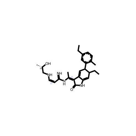 CCc1ccc(C)c(C2C=C3C(=CC2CC)NC(=O)/C3=C(/C)NC(=N)/C=C\NC[C@H](C)O)c1